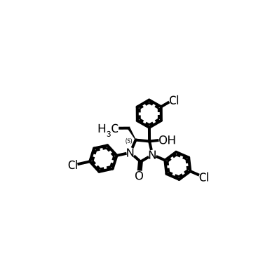 CC[C@@H]1N(c2ccc(Cl)cc2)C(=O)N(c2ccc(Cl)cc2)C1(O)c1cccc(Cl)c1